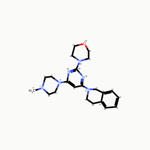 CN1CCN(c2cc(N3CCc4ccccc4C3)nc(N3CCOCC3)n2)CC1